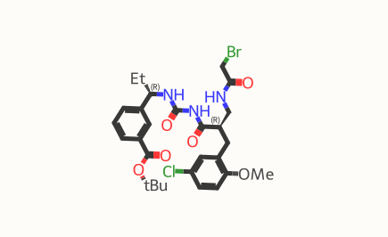 CC[C@@H](NC(=O)NC(=O)[C@@H](CNC(=O)CBr)Cc1cc(Cl)ccc1OC)c1cccc(C(=O)OC(C)(C)C)c1